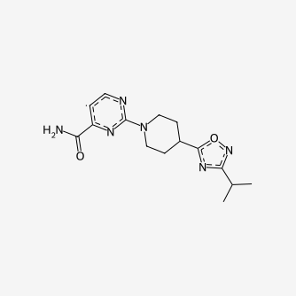 CC(C)c1noc(C2CCN(c3nc[c]c(C(N)=O)n3)CC2)n1